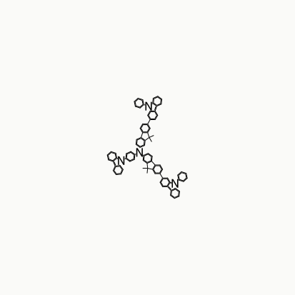 CC1(C)c2cc(-c3ccc4c5ccccc5n(-c5ccccc5)c4c3)ccc2-c2ccc(N(c3ccc(-n4c5ccccc5c5ccccc54)cc3)c3ccc4c(c3)C(C)(C)c3cc(-c5ccc6c7ccccc7n(-c7ccccc7)c6c5)ccc3-4)cc21